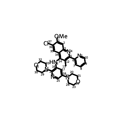 COc1cc2nc(-c3ccccn3)c(C)c(Nc3cc(N4CCOCC4)cnc3N3CCOCC3)c2cc1Cl